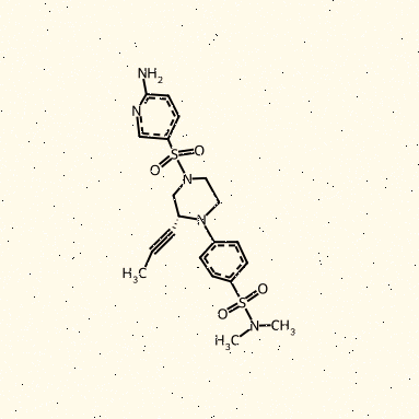 CC#C[C@@H]1CN(S(=O)(=O)c2ccc(N)nc2)CCN1c1ccc(S(=O)(=O)N(C)C)cc1